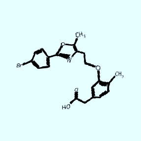 Cc1ccc(CC(=O)O)cc1OCCc1nc(-c2ccc(Br)cc2)oc1C